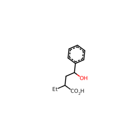 CCC(CC(O)c1ccccc1)C(=O)O